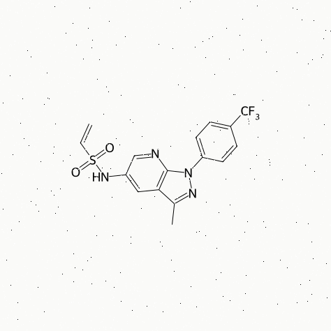 C=CS(=O)(=O)Nc1cnc2c(c1)c(C)nn2-c1ccc(C(F)(F)F)cc1